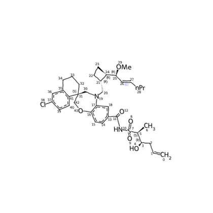 C=CC[C@@H](O)[C@H](C)S(=O)(=O)NC(=O)c1ccc2c(c1)N(C[C@@H]1CC[C@H]1[C@H](/C=C/CCC)OC)C[C@@]1(CCCc3cc(Cl)ccc31)CO2